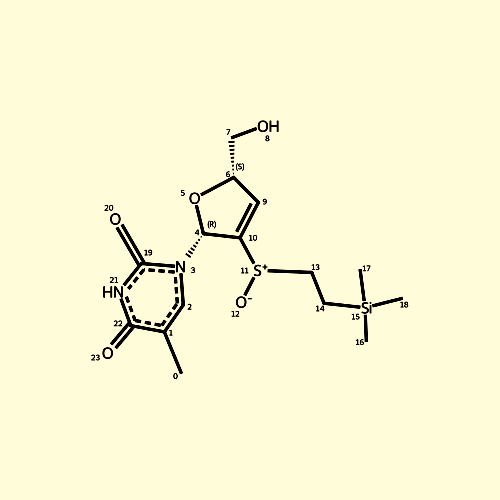 Cc1cn([C@@H]2O[C@H](CO)C=C2[S+]([O-])CC[Si](C)(C)C)c(=O)[nH]c1=O